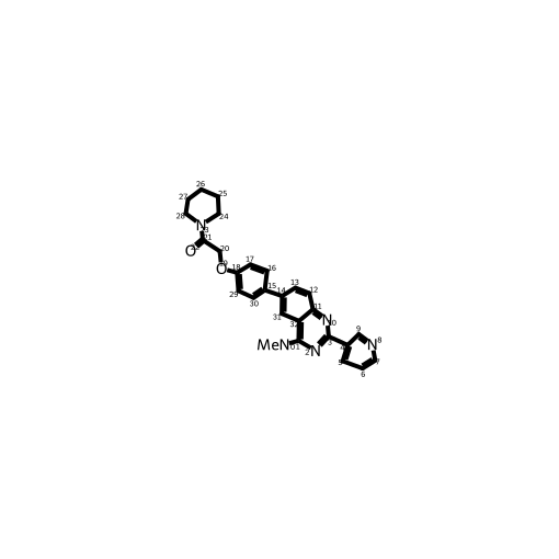 CNc1nc(-c2cccnc2)nc2ccc(-c3ccc(OCC(=O)N4CCCCC4)cc3)cc12